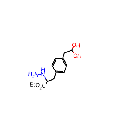 CCOC(=O)[C@H](Cc1ccc(CC(O)O)cc1)NN